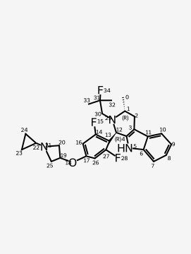 C[C@@H]1Cc2c([nH]c3ccccc23)[C@@H](c2c(F)cc(OC3CN(C4CC4)C3)cc2F)N1CC(C)(C)F